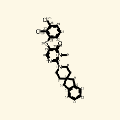 Cn1c(N2CCC3(CC2)Cc2ccccc2C3)ncc(Sc2cccc(Cl)c2Cl)c1=O